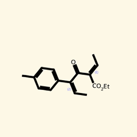 C/C=C(\C(=O)/C(=C\C)C(=O)OCC)c1ccc(C)cc1